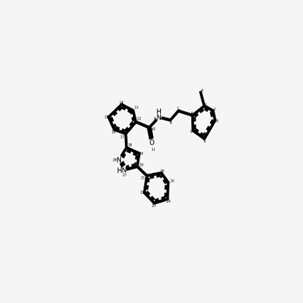 Cc1ccccc1CCNC(=O)c1ccccc1-c1cc(-c2ccccc2)[nH]n1